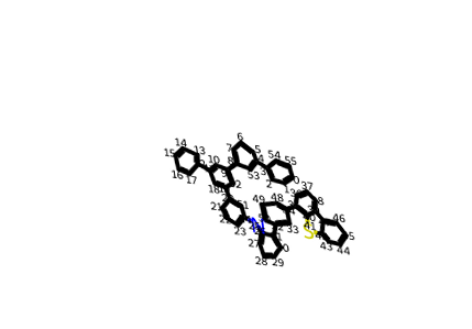 c1ccc(-c2cccc(-c3cc(-c4ccccc4)cc(-c4cccc(-n5c6ccccc6c6cc(-c7cccc8c7sc7ccccc78)ccc65)c4)c3)c2)cc1